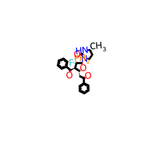 CC1CCN([C@@H]2O[C@H](CC(=O)c3ccccc3)[C@@H](C(=O)c3ccccc3)[C@@]2(F)P)C(=O)N1